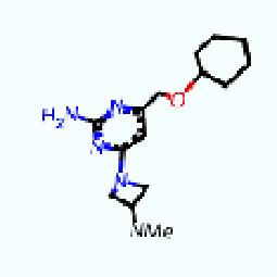 CNC1CN(c2cc(COC3CCCCC3)nc(N)n2)C1